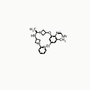 C=C(NC1CN(c2ccccn2)C1)N1CC(Oc2cc(CC)cc(C)c2/N=C\CCC)C1